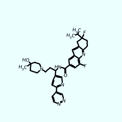 CC(C)C1(F)CCc2nc3c(F)cc(C(=O)NC(CCN4CCC(C)(O)CC4)c4ccc(-c5ccnnc5)nc4)cc3cc2C1